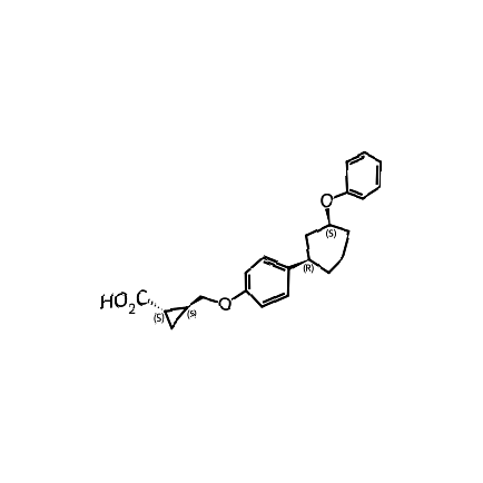 O=C(O)[C@H]1C[C@@H]1COc1ccc([C@@H]2CCC[C@H](Oc3ccccc3)C2)cc1